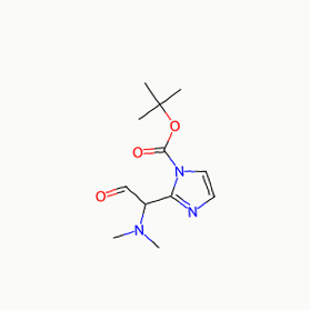 CN(C)C(C=O)c1nccn1C(=O)OC(C)(C)C